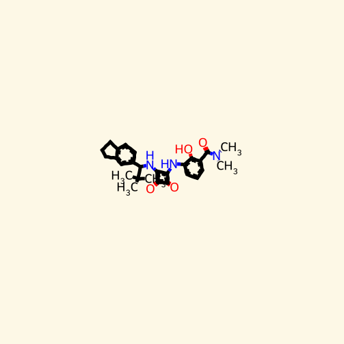 CN(C)C(=O)c1cccc(Nc2c(NC(c3ccc4c(c3)CCC4)C(C)(C)C)c(=O)c2=O)c1O